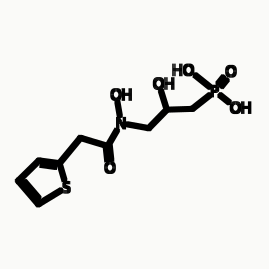 O=C(Cc1cccs1)N(O)CC(O)CP(=O)(O)O